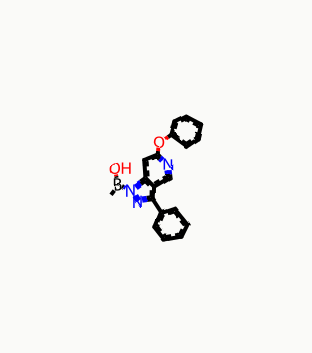 CB(O)n1nc(-c2ccccc2)c2cnc(Oc3ccccc3)cc21